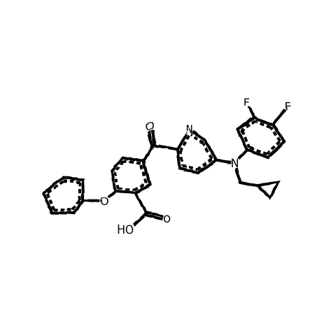 O=C(c1ccc(Oc2ccccc2)c(C(=O)O)c1)c1ccc(N(CC2CC2)c2ccc(F)c(F)c2)cn1